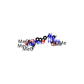 COC[C@H]1C[C@@H](c2nc3ccc4cc5c(cc4c3[nH]2)OCc2cc(-c3cnc([C@@H]4C[C@H](C)CN4C[C@@H](NC(=O)OC)[C@@H](C)OC)[nH]3)ccc2-5)N(C(=O)[C@@H](NC(=O)OC)[C@@H](C)OC)C1